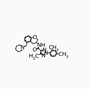 Cc1ccc(-n2nc(C)c(C(=O)N[C@@H]3COc4cccc(CN5CCCCC5)c4C3)n2)c(C)c1